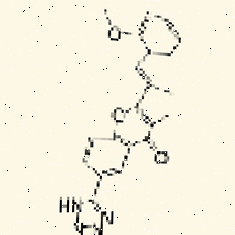 COc1ccccc1C=C1CCc2c1oc1ccc(-c3nnn[nH]3)cc1c2=O